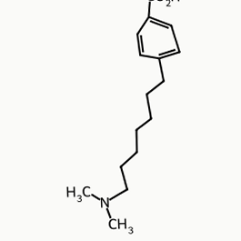 CN(C)CCCCCCCc1ccc(C(=O)O)cc1